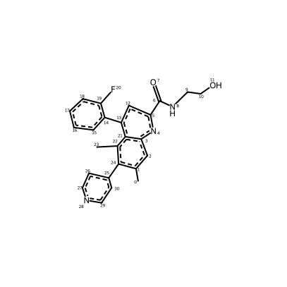 Cc1cc2nc(C(=O)NCCO)cc(-c3ccccc3F)c2c(C)c1-c1ccncc1